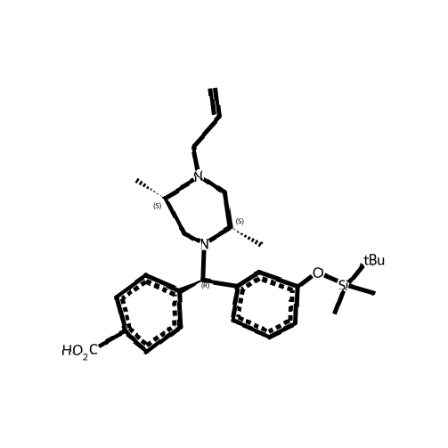 C=CCN1C[C@H](C)N([C@H](c2ccc(C(=O)O)cc2)c2cccc(O[Si](C)(C)C(C)(C)C)c2)C[C@@H]1C